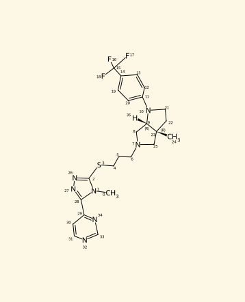 Cn1c(SCCCN2C[C@@H]3N(c4ccc(C(F)(F)F)cc4)CC[C@]3(C)C2)nnc1-c1ccncn1